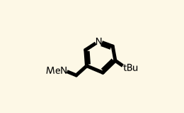 CNCc1cncc(C(C)(C)C)c1